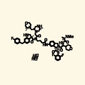 CN[C@@H](C)C(=O)N[C@H](C(=O)N1Cc2ccc(NC(=O)CCCN(C(=O)CN3C[C@@H](C)NC[C@@H]3CN3CCOC[C@H]3C)C(=O)[C@]3(C)CNc4cc(Cc5ccc(F)cc5)ccc43)cc2[C@H]1C(=O)Nc1c(F)cccc1F)C1CCOCC1.Cl.Cl.Cl